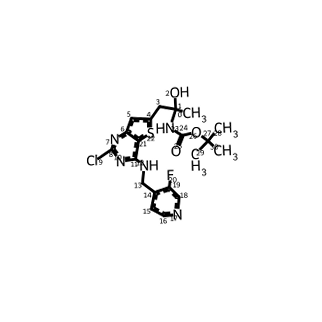 CC(O)(Cc1cc2nc(Cl)nc(NCc3ccncc3F)c2s1)NC(=O)OC(C)(C)C